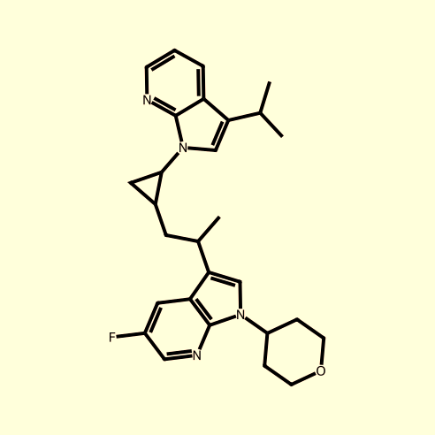 CC(C)c1cn(C2CC2CC(C)c2cn(C3CCOCC3)c3ncc(F)cc23)c2ncccc12